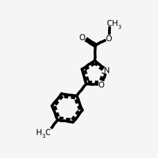 COC(=O)c1cc(-c2ccc(C)cc2)on1